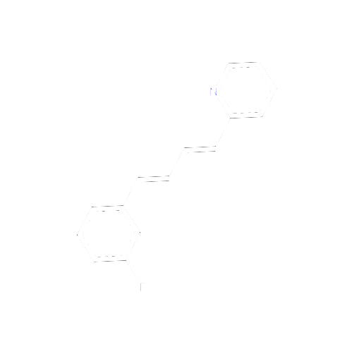 Fc1cccc(/C=C/C=C/c2ccccn2)c1